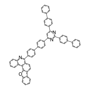 c1ccc(-c2ccc(-c3cc(-c4ccc(-c5ccc(-c6nc7ccccc7c7c6ccc6c8ccccc8oc67)cc5)cc4)nc(-c4ccc(-c5ccccc5)cc4)n3)cc2)cc1